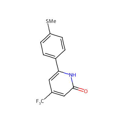 CSc1ccc(-c2cc(C(F)(F)F)cc(=O)[nH]2)cc1